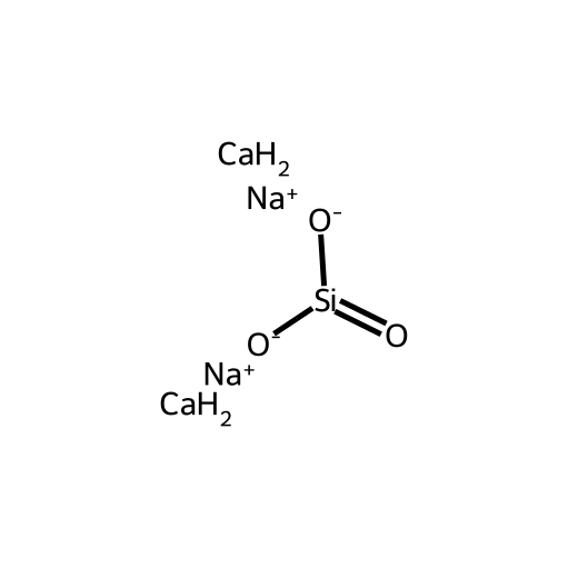 O=[Si]([O-])[O-].[CaH2].[CaH2].[Na+].[Na+]